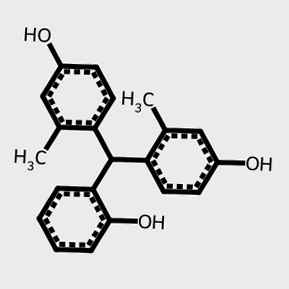 Cc1cc(O)ccc1C(c1ccc(O)cc1C)c1ccccc1O